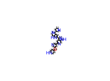 c1cncc(-c2nccc3[nH]c(-c4n[nH]c5cnc(-c6cncc(OC7CCNCC7)c6)cc45)cc23)c1